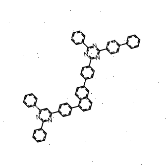 c1ccc(-c2ccc(-c3nc(-c4ccccc4)nc(-c4ccc(-c5ccc6c(-c7ccc(-c8cc(-c9ccccc9)nc(-c9ccccc9)n8)cc7)cccc6c5)cc4)n3)cc2)cc1